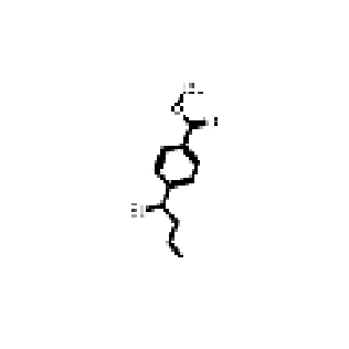 CCC(CCI)c1ccc(C(=O)OC(C)(C)C)cc1